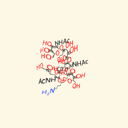 CC(=O)N[C@@H]1C(O[C@H]2C(CO)O[C@@H](O[C@H]3[C@H](O)C(CO[C@]4(C(=O)O)C[C@@H](O)[C@@H](NC(C)=O)C(C[C@H](O)CO)O4)OC(O[C@@H]4[C@H](O)C(OCCCCCN)OC(CO)[C@@H]4O)[C@H]3NC(C)=O)[C@@H](O)C2O)OC(CO)[C@H](O)[C@@H]1O